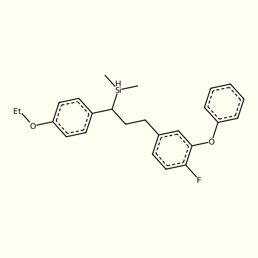 CCOc1ccc(C(CCc2ccc(F)c(Oc3ccccc3)c2)[SiH](C)C)cc1